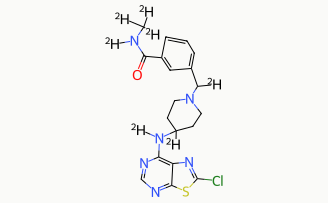 [2H]C(c1cccc(C(=O)N([2H])C([2H])([2H])[2H])c1)N1CCC([2H])(N([2H])c2ncnc3sc(Cl)nc23)CC1